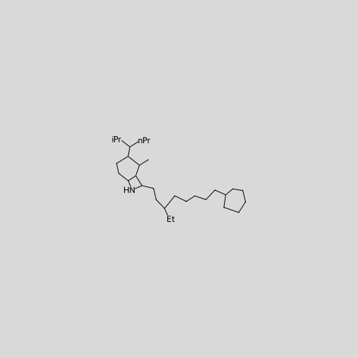 CCCC(C(C)C)C1CCC2NC(CCC(CC)CCCCCC3CCCCC3)C2C1C